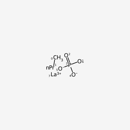 CCCC.O=P([O-])([O-])[O-].[La+3]